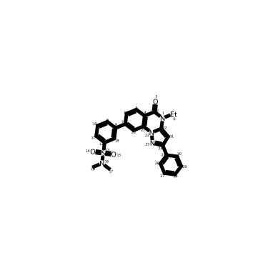 CCn1c(=O)c2ccc(-c3cccc(S(=O)(=O)N(C)C)c3)cc2n2nc(-c3ccccc3)cc12